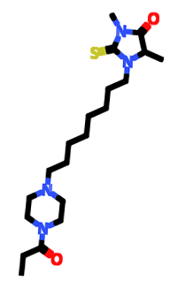 CCC(=O)N1CCN(CCCCCCCCN2C(=S)N(C)C(=O)C2C)CC1